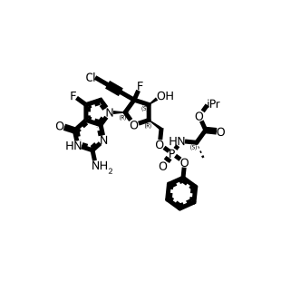 CC(C)OC(=O)[C@H](C)NP(=O)(OC[C@H]1O[C@@H](n2cc(F)c3c(=O)[nH]c(N)nc32)C(F)(C#CCl)[C@H]1O)Oc1ccccc1